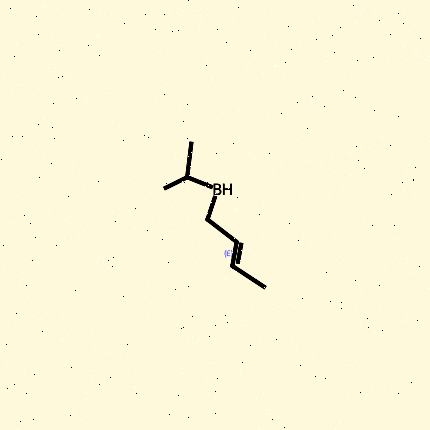 C/C=C/CBC(C)C